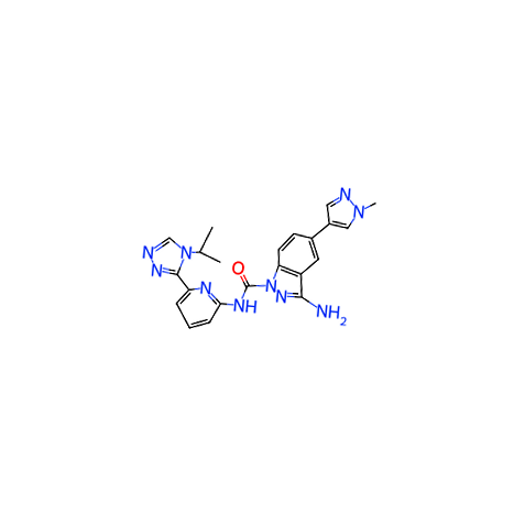 CC(C)n1cnnc1-c1cccc(NC(=O)n2nc(N)c3cc(-c4cnn(C)c4)ccc32)n1